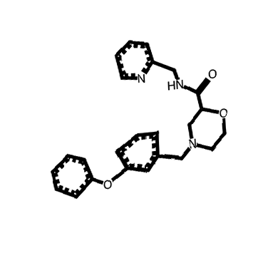 O=C(NCc1ccccn1)C1CN(Cc2cccc(Oc3ccccc3)c2)CCO1